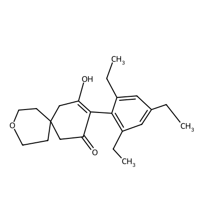 CCc1cc(CC)c(C2=C(O)CC3(CCOCC3)CC2=O)c(CC)c1